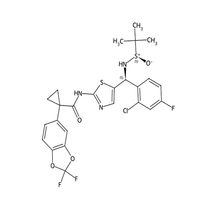 CC(C)(C)[S@@+]([O-])N[C@H](c1cnc(NC(=O)C2(c3ccc4c(c3)OC(F)(F)O4)CC2)s1)c1ccc(F)cc1Cl